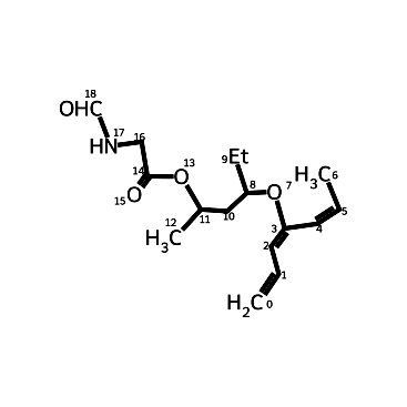 C=C/C=C(\C=C/C)OC(CC)CC(C)OC(=O)CNC=O